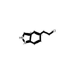 ClCCc1ccc2n[nH]cc2c1